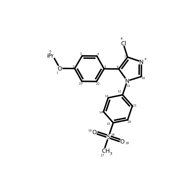 CC(C)Oc1ccc(-c2c(Cl)ncn2-c2ccc(S(C)(=O)=O)cc2)cc1